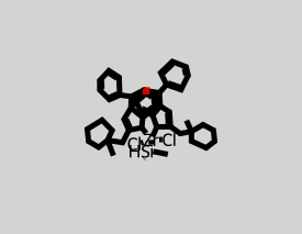 C[SiH](C)[Zr]([Cl])([Cl])([CH]1C(CC2(C)CCCCC2)=Cc2c(-c3ccccc3)cccc21)[CH]1C(CC2(C)CCCCC2)=Cc2c(-c3ccccc3)cccc21